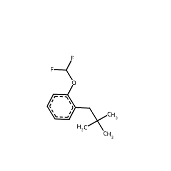 CC(C)(C)Cc1ccccc1OC(F)F